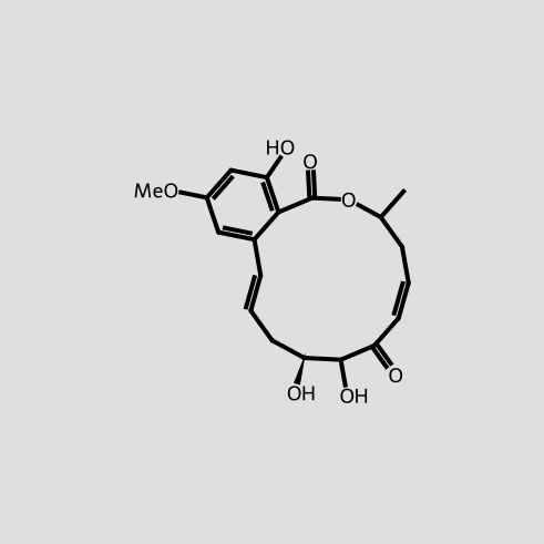 COc1cc(O)c2c(c1)/C=C/C[C@H](O)C(O)C(=O)/C=C\CC(C)OC2=O